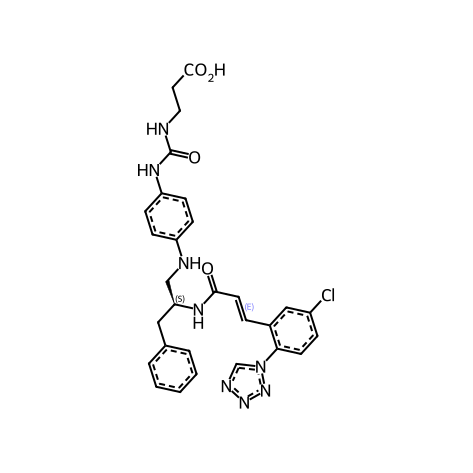 O=C(O)CCNC(=O)Nc1ccc(NC[C@H](Cc2ccccc2)NC(=O)/C=C/c2cc(Cl)ccc2-n2cnnn2)cc1